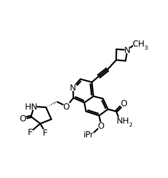 CC(C)Oc1cc2c(OC[C@@H]3CC(F)(F)C(=O)N3)ncc(C#CC3CN(C)C3)c2cc1C(N)=O